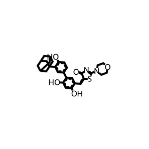 O=C1N=C(N2CCOCC2)S/C1=C/c1cc(-c2ccc(O)c(C34CC5CC(CC(C5)C3)C4)c2)c(O)cc1O